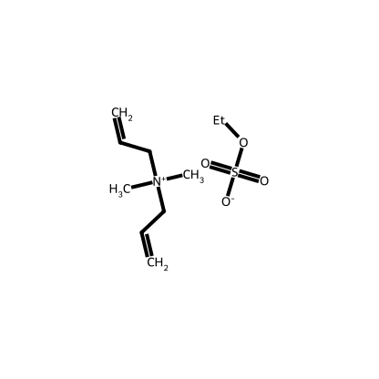 C=CC[N+](C)(C)CC=C.CCOS(=O)(=O)[O-]